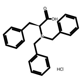 Cl.O=C(O)[C@H](Cc1ccccc1)N(Cc1ccccc1)Cc1ccccc1